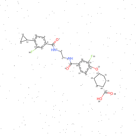 O=C(NCCNC(=O)c1ccc(C2CC2)c(F)c1)c1ccc(O[C@H]2CC[C@@H](C(=O)O)CC2)c(F)c1